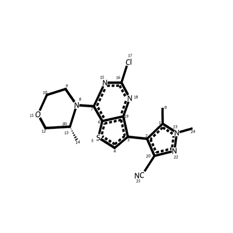 Cc1c(-c2csc3c(N4CCOC[C@H]4C)nc(Cl)nc23)c(C#N)nn1C